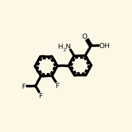 Nc1c(C(=O)O)cccc1-c1cccc(C(F)F)c1F